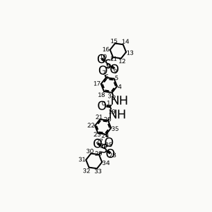 O=C(Nc1ccc(OS(=O)(=O)C2CCCCC2)cc1)Nc1cccc(OS(=O)(=O)C2CCCCC2)c1